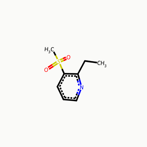 CCc1ncccc1S(C)(=O)=O